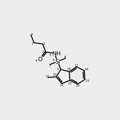 CCCC(=O)N[Si](C)(C)C1C(C)=Cc2ccccc21